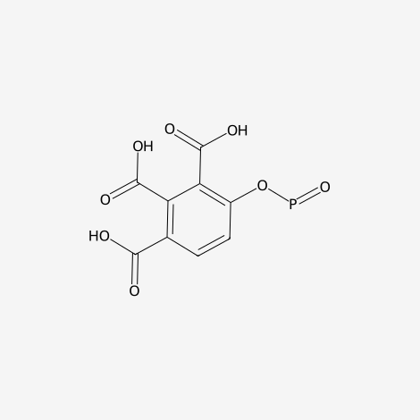 O=POc1ccc(C(=O)O)c(C(=O)O)c1C(=O)O